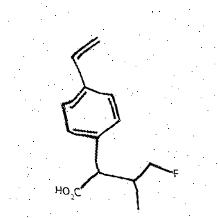 C=Cc1ccc(C(C(=O)O)C(C)CF)cc1